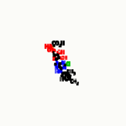 C[C@]12C[C@@H]3C[C@](C)(C1)C[C@@](Nc1nc(Cl)nc4c1ncn4[C@@H]1O[C@H](COP(=O)(O)CC(=O)O)C(O)C1O)(C3)C2